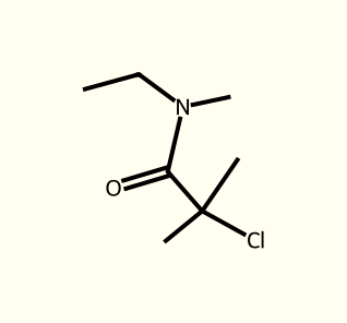 CCN(C)C(=O)C(C)(C)Cl